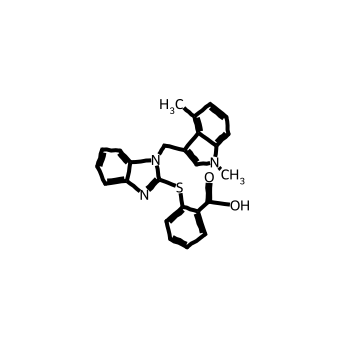 Cc1cccc2c1c(Cn1c(Sc3ccccc3C(=O)O)nc3ccccc31)cn2C